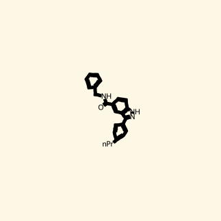 CCCc1ccc(-c2n[nH]c3ccc(C(=O)NCc4ccccc4)cc23)cc1